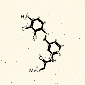 COCC(=O)Nc1cc(CSc2ccc(N)c(Cl)c2Cl)ccn1